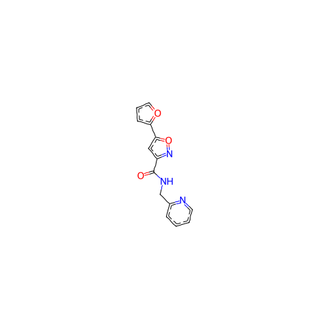 O=C(NCc1ccccn1)c1cc(-c2ccco2)on1